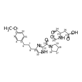 COc1ccc(CCCc2c[nH]c(C(=O)N3CCC[C@H]3C(=O)NC(C=O)CC(=O)O)n2)cc1